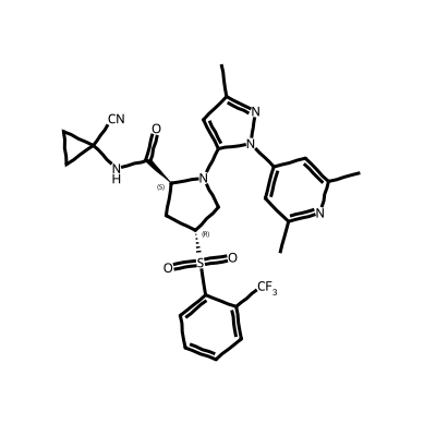 Cc1cc(-n2nc(C)cc2N2C[C@H](S(=O)(=O)c3ccccc3C(F)(F)F)C[C@H]2C(=O)NC2(C#N)CC2)cc(C)n1